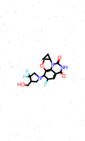 COC1=c2c(c(=O)[nH]c(=O)n2C2CC2)=CC(F)C1N1CC(CO)C(F)(F)C1